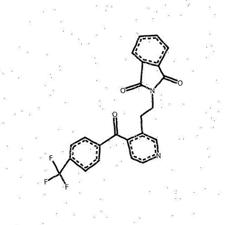 O=C(c1ccc(C(F)(F)F)cc1)c1ccncc1CCN1C(=O)c2ccccc2C1=O